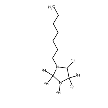 [2H]C1N(CCCCCCC)C([2H])([2H])N([2H])C1([2H])[2H]